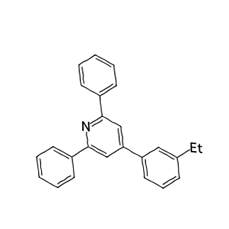 CCc1cccc(-c2cc(-c3ccccc3)nc(-c3ccccc3)c2)c1